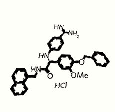 COc1cc([C@@H](Nc2ccc(C(=N)N)cc2)C(=O)NCc2cccc3ccccc23)ccc1OCc1ccccc1.Cl